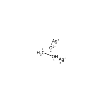 CO.[Ag+].[Ag+].[O-2]